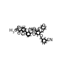 Cc1c(COc2cc(OCc3cncc(C#N)c3)c(CN3CCOC[C@H]3C(=O)O)cc2Cl)cccc1-c1cccc(C(=O)N(C)C)c1C